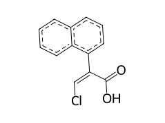 O=C(O)C(=CCl)c1cccc2ccccc12